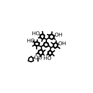 Cc1cc(C(c2cc(C(c3cc(C)c(O)c(C)c3C)c3cc(C)c(O)c(C)c3C)cc(C(c3cc(C)c(O)c(C)c3C)c3cc(C)c(OC(C)OC4CCCCC4)c(C)c3C)c2)c2cc(C)c(O)c(C)c2C)c(C)c(C)c1O